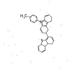 Cc1ccc(-n2c3c(c4c2C=CC(C2=C5SC6C=CC=CC6C5CC=C2)C4)CCC=C3)cc1